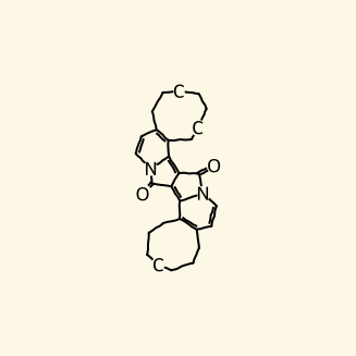 O=C1C2=C3C4=C(C=CN3C(=O)C2=C2C3=C(C=CN12)CCCCCCC3)CCCCCCC4